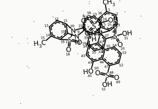 Cc1ccc2c(NC(=O)Nc3c4ccc(C)c3S(=O)(=O)N4c3ccc(O)c4c(S(=O)(=O)O)cccc34)c1S(=O)(=O)N2c1ccc(O)c2c(S(=O)(=O)O)cccc12